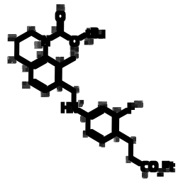 CCOC(=O)CCc1ccc(NCc2ccc3c(c2C)N(C(=O)OC(C)(C)C)CCC3)cc1F